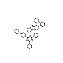 c1ccc(-c2ccc(-c3nc(-c4ccccc4)nc(-c4cccc(-c5cc6c7ccccc7c7ccccc7c6c6oc7ccccc7c56)c4)n3)cc2)cc1